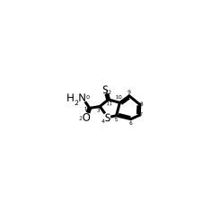 NC(=O)C1Sc2ccccc2C1=S